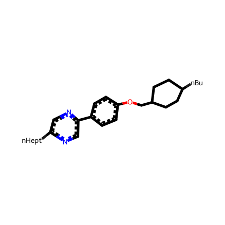 CCCCCCCc1cnc(-c2ccc(OCC3CCC(CCCC)CC3)cc2)cn1